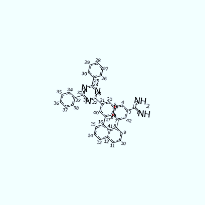 N=C(N)c1cccc(-c2cccc3cccc(-c4cccc(-c5nc(-c6ccccc6)nc(-c6ccccc6)n5)c4)c23)c1